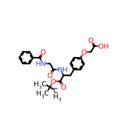 CC(C)(C)OC(=O)C(Cc1ccc(OCC(=O)O)cc1)NC(=O)CNC(=O)c1ccccc1